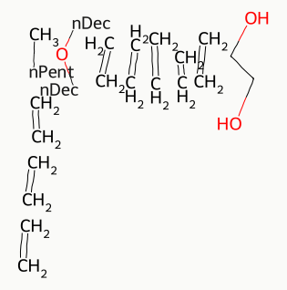 C=C.C=C.C=C.C=C.C=C.C=C.C=C.C=C.CCCCCC.CCCCCCCCCCOCCCCCCCCCC.OCCO